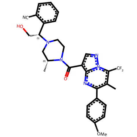 COc1ccc(-c2nc3c(C(=O)N4CCN([C@H](CO)c5ccccc5C#N)C[C@H]4C)cnn3c(C(F)(F)F)c2C)cc1